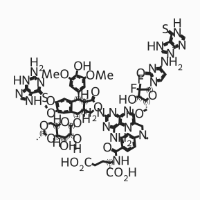 CN(Cc1cnc2nc(N)nc(N)c2n1)c1ccc(C(=O)N[C@@H](CCC(=O)O)C(=O)O)cc1.COc1cc([C@@H]2c3cc4c(cc3[C@@H](O[C@@H]3O[C@@H]5CO[C@@H](C)O[C@H]5[C@H](O)[C@H]3O)[C@H]3COC(=O)[C@H]23)OCO4)cc(OC)c1O.Nc1ccn([C@@H]2O[C@H](CO)[C@@H](O)C2(F)F)c(=O)n1.Nc1nc(=S)c2[nH]cnc2[nH]1.S=c1[nH]cnc2nc[nH]c12